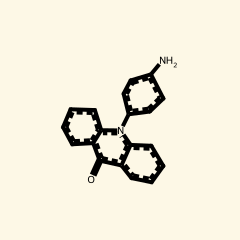 Nc1ccc(-n2c3ccccc3c(=O)c3ccccc32)cc1